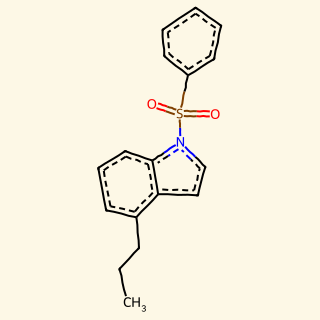 CCCc1cccc2c1ccn2S(=O)(=O)c1ccccc1